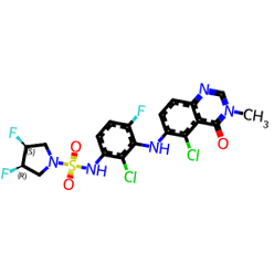 Cn1cnc2ccc(Nc3c(F)ccc(NS(=O)(=O)N4C[C@@H](F)[C@@H](F)C4)c3Cl)c(Cl)c2c1=O